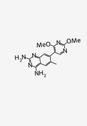 COc1ncc(-c2cc3nc(N)nc(N)c3cc2C)c(OC)n1